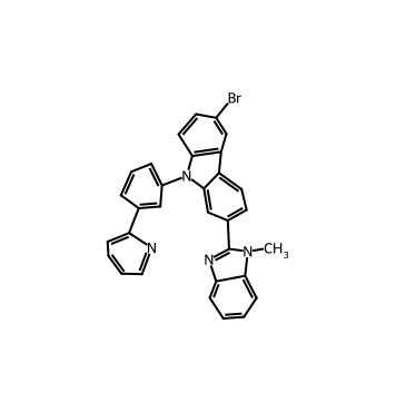 Cn1c(-c2ccc3c4cc(Br)ccc4n(-c4cccc(-c5ccccn5)c4)c3c2)nc2ccccc21